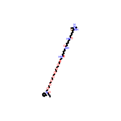 C=C1NC2CSC(CCCCC(=O)NCCCCCC(=O)NCCCCCC(=O)NCCOCCOCCOCCOCCOCCOCCOCCOCCN(C(=O)/C=C/C)c3ccccc3C)C2N1